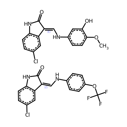 COc1ccc(N/C=C2/C(=O)Nc3ccc(Cl)cc32)cc1O.O=C1Nc2ccc(Cl)cc2/C1=C/Nc1ccc(OC(F)(F)F)cc1